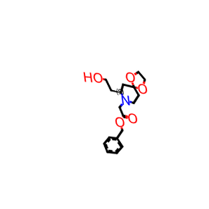 O=C(CN1CCC2(C[C@@H]1CCO)OCCO2)OCc1ccccc1